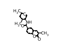 Cc1ccc(NC(=O)c2ccc3oc(=O)c(C)cc3c2)c(C)c1